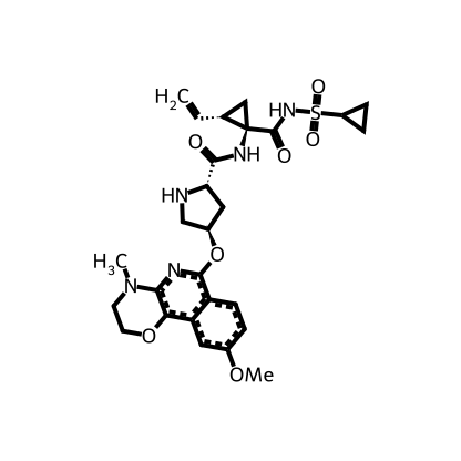 C=C[C@@H]1C[C@]1(NC(=O)[C@@H]1C[C@@H](Oc2nc3c(c4cc(OC)ccc24)OCCN3C)CN1)C(=O)NS(=O)(=O)C1CC1